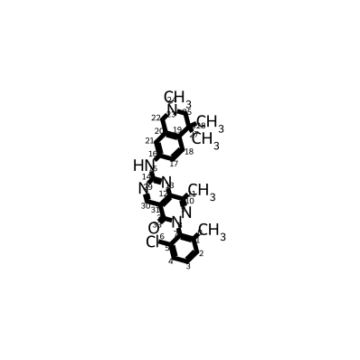 Cc1cccc(Cl)c1-n1nc(C)c2nc(Nc3ccc4c(c3)CN(C)CC4(C)C)ncc2c1=O